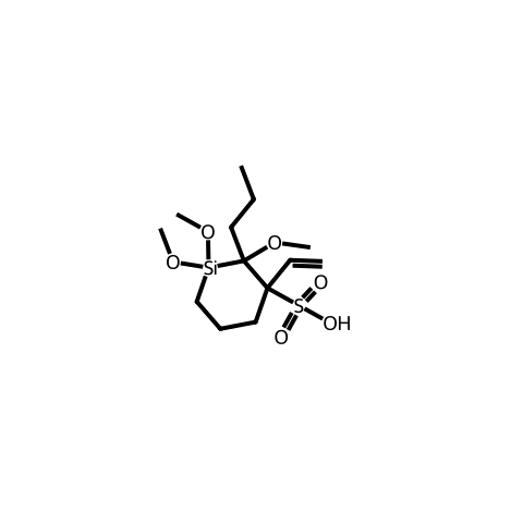 C=CC1(S(=O)(=O)O)CCC[Si](OC)(OC)C1(CCC)OC